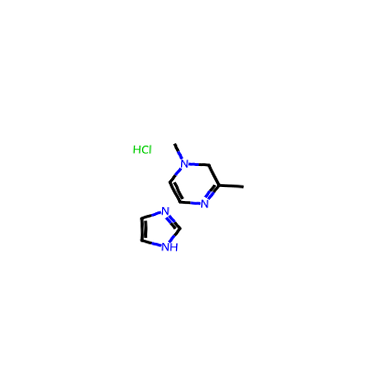 CC1=NC=CN(C)C1.Cl.c1c[nH]cn1